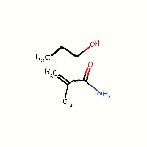 C=C(C)C(N)=O.CCCO